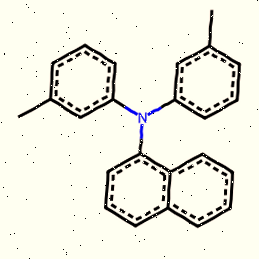 Cc1cccc(N(c2cccc(C)c2)c2cccc3ccccc23)c1